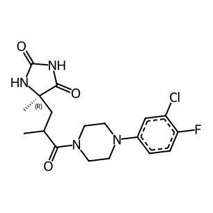 CC(C[C@@]1(C)NC(=O)NC1=O)C(=O)N1CCN(c2ccc(F)c(Cl)c2)CC1